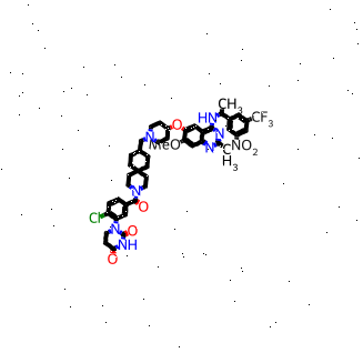 COc1cc2nc(C)nc(NC(C)c3cc([N+](=O)[O-])cc(C(F)(F)F)c3)c2cc1OC1CCN(CC2CCC3(CC2)CCN(C(=O)c2ccc(Cl)c(N4CCC(=O)NC4=O)c2)CC3)CC1